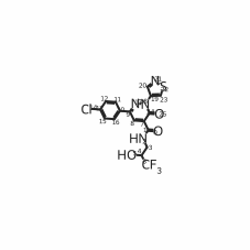 O=C(NCC(O)C(F)(F)F)c1cc(-c2ccc(Cl)cc2)nn(-c2cnsc2)c1=O